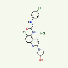 Cl.O=C(CNc1ccc(Cl)cc1)Nc1c(Cl)ccc2nc(N3CC[C@@H](O)C3)ccc12